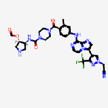 Cc1cc(Nc2nccn3c(-c4cn(CC#N)nc4C(F)(F)F)cnc23)ccc1C(=O)N1CCN(C(=O)N[C@H]2CNC[C@@H]2OC=O)CC1